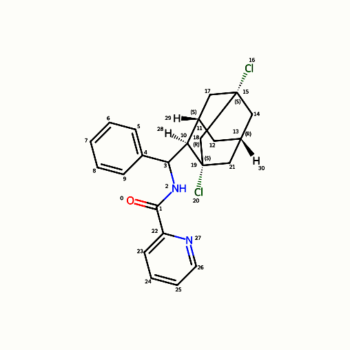 O=C(NC(c1ccccc1)[C@H]1[C@H]2C[C@@H]3C[C@](Cl)(C2)C[C@@]1(Cl)C3)c1ccccn1